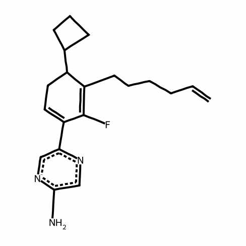 C=CCCCCC1=C(F)C(c2cnc(N)cn2)=CCC1C1CCC1